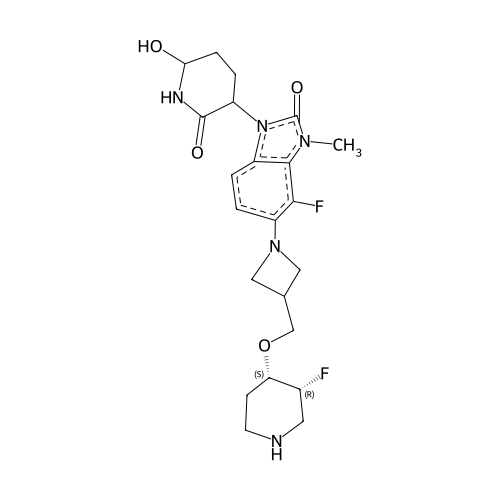 Cn1c(=O)n(C2CCC(O)NC2=O)c2ccc(N3CC(CO[C@H]4CCNC[C@H]4F)C3)c(F)c21